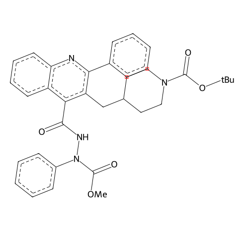 COC(=O)N(NC(=O)c1c(CC2CCN(C(=O)OC(C)(C)C)CC2)c(-c2ccccc2)nc2ccccc12)c1ccccc1